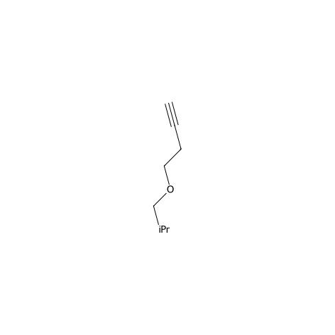 C#CCCOCC(C)C